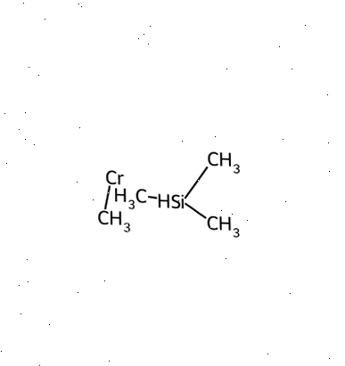 C[SiH](C)C.[CH3][Cr]